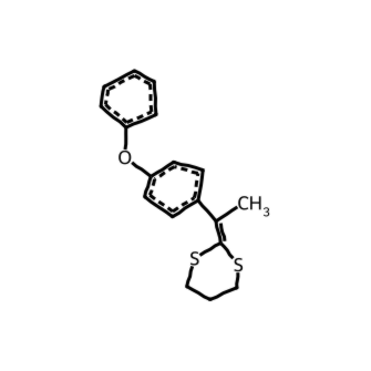 CC(=C1SCCCS1)c1ccc(Oc2ccccc2)cc1